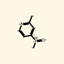 Cc1cc([PH](C)=O)ccn1